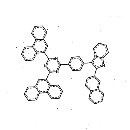 c1ccc2cc(-c3nc4ccccn4c3-c3ccc(-c4nc(-c5cc6ccccc6c6ccccc56)nc(-c5cc6ccccc6c6ccccc56)n4)cc3)ccc2c1